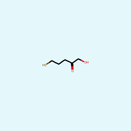 O=C(CO)CCCS